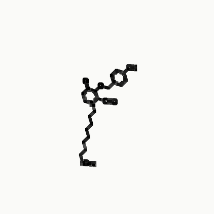 CCCCCCCCCCCCCCCCCCn1ccc(=O)c(OCc2ccc(O)cc2)c1C=O